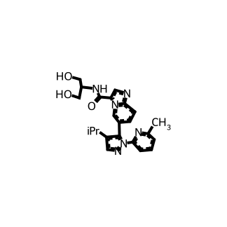 Cc1cccc(-n2ncc(C(C)C)c2-c2ccc3ncc(C(=O)NC(CO)CO)n3c2)n1